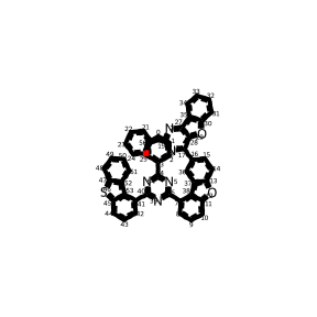 c1ccc(-c2nc(-c3cccc4oc5ccc(-c6nc(-c7ccccc7)nc7c6oc6ccccc67)cc5c34)nc(-c3cccc4sc5ccccc5c34)n2)cc1